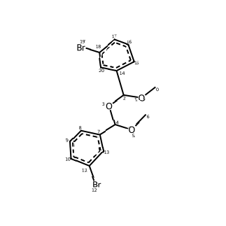 COC(OC(OC)c1cccc(Br)c1)c1cccc(Br)c1